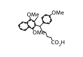 COc1ccc(C(CCCCC(=O)O)c2c(C)c(OC)c3ccccc3c2OC)cc1